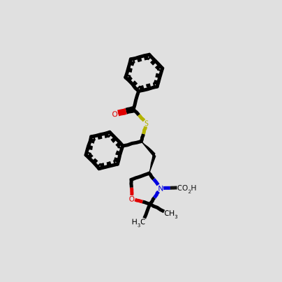 CC1(C)OC[C@@H](C[C@H](SC(=O)c2ccccc2)c2ccccc2)N1C(=O)O